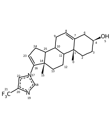 C[C@]12CC[C@H](O)CC1=CCC1C2CC[C@]2(C)C(n3cnc(C(F)(F)F)c3)=CCC12